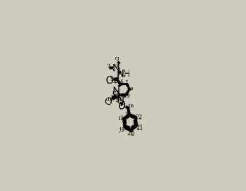 CN(C)NC(=O)C1CCC2CN1C(=O)N2OCc1ccccc1